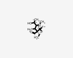 CC[C@](C=O)(C(C)C(OC)C(C)O)C(F)(F)F